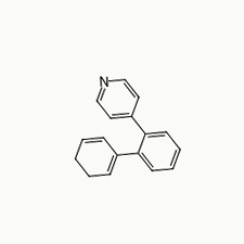 C1=CC(c2ccccc2-c2ccncc2)=CCC1